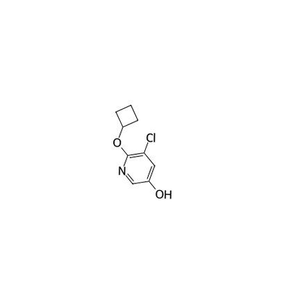 Oc1cnc(OC2CCC2)c(Cl)c1